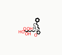 CC(C/C=C/[C@H]1CCC(=O)[C@@H]1CCCC/C(O)=C(\O)C(=O)O)c1ccccc1